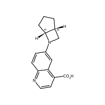 O=C(O)c1ccnc2ccc(N3C[C@H]4CCC[C@H]43)cc12